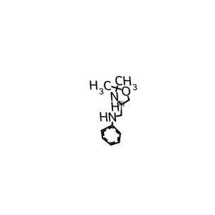 CC1(C)N[C@H](CNc2ccccc2)CO1